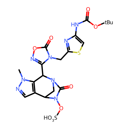 Cn1ncc2c1C(c1noc(=O)n1Cc1nc(NC(=O)OC(C)(C)C)cs1)N1CC2N(OS(=O)(=O)O)C1=O